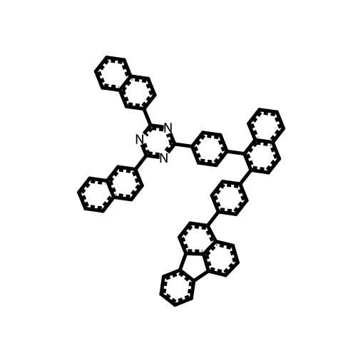 c1ccc2c(c1)-c1cccc3c(-c4ccc(-c5ccc6ccccc6c5-c5ccc(-c6nc(-c7ccc8ccccc8c7)nc(-c7ccc8ccccc8c7)n6)cc5)cc4)ccc-2c13